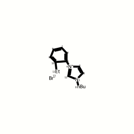 CCCCn1cc[n+](-c2ccccc2CC)c1.[Br-]